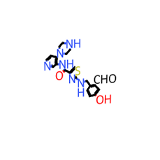 O=Cc1cc(O)ccc1CNc1nc(C(=O)Nc2cnccc2N2CCNCC2)cs1